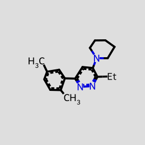 CCc1nnc(-c2cc(C)ccc2C)cc1N1CCCCC1